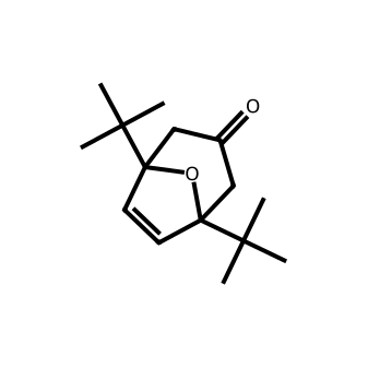 CC(C)(C)C12C=CC(C(C)(C)C)(CC(=O)C1)O2